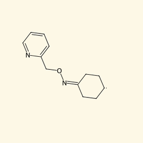 [CH]1CCC(=NOCc2ccccn2)CC1